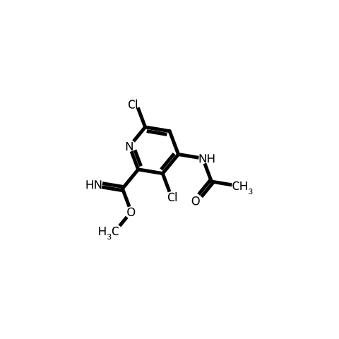 COC(=N)c1nc(Cl)cc(NC(C)=O)c1Cl